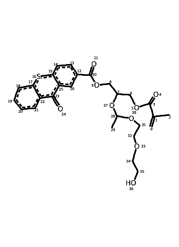 C=C(C)C(=O)OCC(COC(=O)c1ccc2sc3ccccc3c(=O)c2c1)OC(C)OCCOCCO